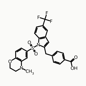 CN1CCOc2ccc(S(=O)(=O)n3c(Cc4ccc(C(=O)O)cc4)cc4cc(C(F)(F)F)ccc43)cc21